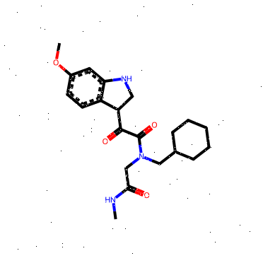 CNC(=O)CN(CC1CCCCC1)C(=O)C(=O)C1CNc2cc(OC)ccc21